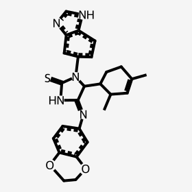 CC1=CC(C)C(C2C(=Nc3ccc4c(c3)OCCO4)NC(=S)N2c2ccc3[nH]cnc3c2)CC1